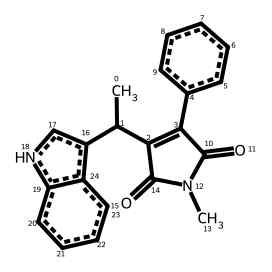 CC(C1=C(c2ccccc2)C(=O)N(C)C1=O)c1c[nH]c2ccccc12